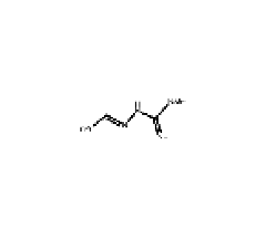 CCCC=NNC(=N)NC